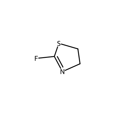 FC1=NCCS1